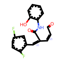 O=C/C=C\C(=C\c1cc(F)ccc1F)C(=O)Nc1ccccc1O